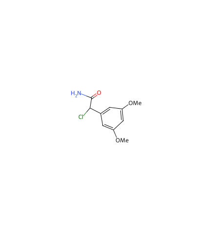 COc1cc(OC)cc(C(Cl)C(N)=O)c1